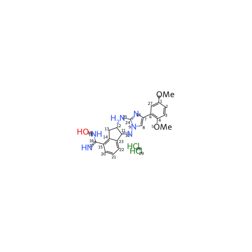 COc1ccc(OC)c(-c2cn(N=C3CCc4c(C(=N)NO)cccc43)c(N)n2)c1.Cl.Cl